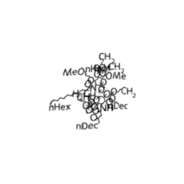 C=CCOC(=O)O[C@H]1[C@H](OCCCCCCCCCC)[C@@H](NC(=O)CC(=O)CCCCCCCCCCC)C(OP(=O)(OCC=C)OCC=C)O[C@@H]1CO[C@@H]1O[C@H](COC)[C@@H](OP(=O)(OCC=C)OCC=C)[C@H](OCC[C@@H](CCCCCCC)OC)[C@H]1NC(=O)CCCCCCCCC/C=C\CCCCCC